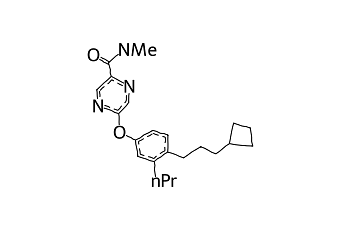 CCCc1cc(Oc2cnc(C(=O)NC)cn2)ccc1CCCC1CCC1